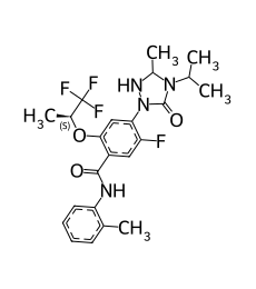 Cc1ccccc1NC(=O)c1cc(F)c(N2NC(C)N(C(C)C)C2=O)cc1O[C@@H](C)C(F)(F)F